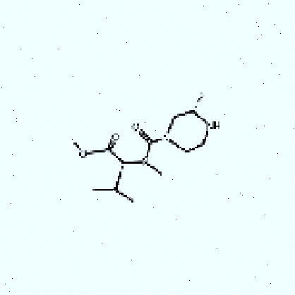 COC(=O)[C@H](C(C)C)N(C)C(=O)N1CCN[C@@H](C)C1